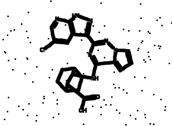 O=C(O)C1C2CCC(CC2)C1Nc1nc(-c2n[nH]c3ncc(Cl)cc23)nn2cccc12